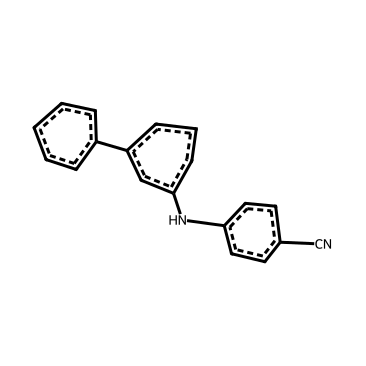 N#Cc1ccc(Nc2cccc(-c3ccccc3)c2)cc1